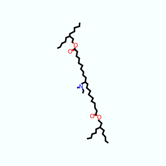 CCCCCC(CCCCC)CCOC(=O)CCCCCCCCCC(CCCCCCCCCC(=O)OCCC(CCCCC)CCCCC)CN(C)CC